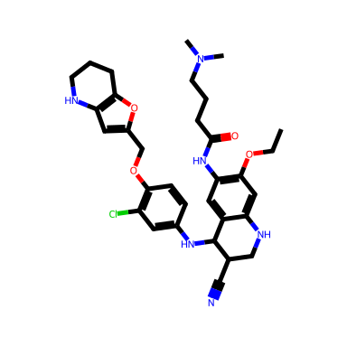 CCOc1cc2c(cc1NC(=O)CCCN(C)C)C(Nc1ccc(OCc3cc4c(o3)CCCN4)c(Cl)c1)C(C#N)CN2